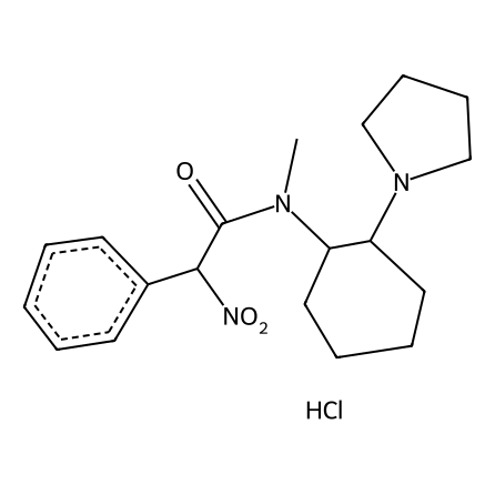 CN(C(=O)C(c1ccccc1)[N+](=O)[O-])C1CCCCC1N1CCCC1.Cl